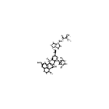 C#Cc1c(F)ccc2cc(O)cc(-c3nnc4c(N5C[C@H]6C[C@@H]5CN6)nc(C#C[C@]56CCCN5[C@@H](COC(=O)N(C)C)CC6)nc4c3F)c12